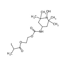 CC(I)C(=O)OCCOC(=O)NC1CC(C)(C)N(O)C(C)(C)C1